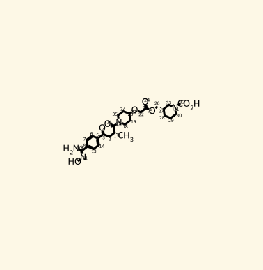 C[C@H](CC(=O)c1ccc(/C(N)=N/O)cc1)C(=O)N1CCC(OCC(=O)OC[C@H]2CCCN(C(=O)O)C2)CC1